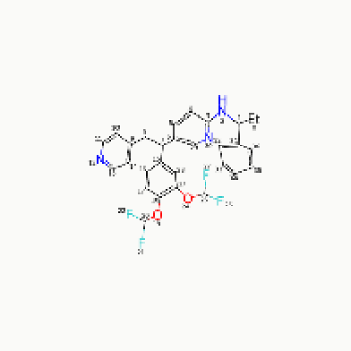 CCC(Nc1ccc(C(Cc2ccncc2)c2ccc(OC(F)F)c(OC(F)F)c2)cn1)c1ccccc1